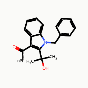 CCCC(=O)c1c(C(C)(C)O)n(Cc2ccccc2)c2ccccc12